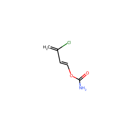 C=C(Cl)C=COC(N)=O